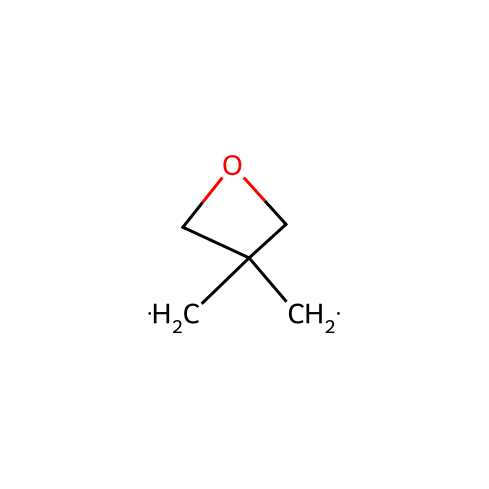 [CH2]C1([CH2])COC1